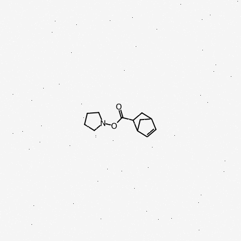 O=C(ON1CCCC1)C1CC2C=CC1C2